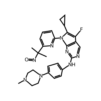 CN1CCN(c2ccc(Nc3ncc4c(F)c(C5CC5)n(-c5cccc(C(C)(C)N=O)n5)c4n3)cc2)CC1